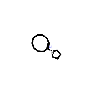 C1=C(/N2CCCC2)CCCCCCCC/1